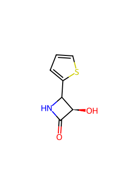 O=C1NC(c2cccs2)[C@H]1O